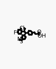 CCC(=C(c1ccc(C=CC(=O)O)cc1)c1ccc2scnc2c1)c1ccc(F)cc1Cl